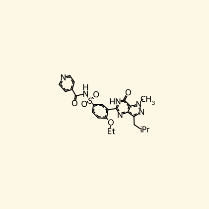 CCOc1ccc(S(=O)(=O)NC(=O)c2ccncc2)cc1-c1nc2c(CC(C)C)nn(C)c2c(=O)[nH]1